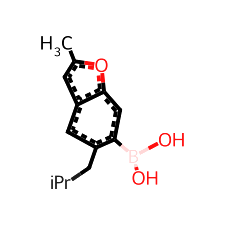 Cc1cc2cc(CC(C)C)c(B(O)O)cc2o1